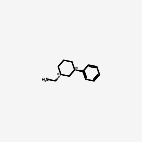 NC[C@@H]1CCC[C@@H](c2ccccc2)C1